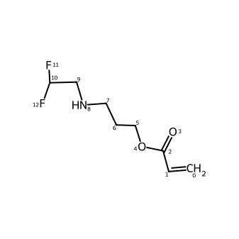 C=CC(=O)OCCCNCC(F)F